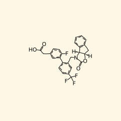 O=C(O)Cc1ccc(F)c(-c2ccc(C(F)(F)F)cc2CN2C(=O)O[C@H]3Cc4ccccc4[C@H]32)c1